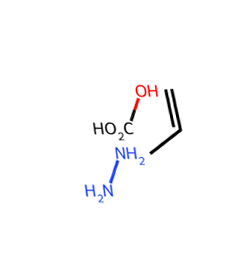 C=CC.NN.O=C(O)O